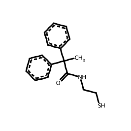 CC(C(=O)NCCS)(c1ccccc1)c1ccccc1